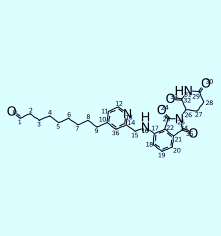 O=CCCCCCCCCc1ccnc(CNc2cccc3c2C(=O)N(C2CCC(=O)NC2=O)C3=O)c1